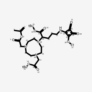 C=C(C)OC(=O)CN1CCN(CC(=O)OC(C)(C)C)CCN(C(CCCNc2c(OCC)c(=O)c2=O)C(=O)OC(C)(C)C)CC1